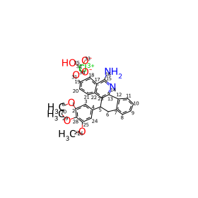 COc1cc(C2Cc3ccccc3-c3nc(N)c4ccccc4c32)cc(OC)c1OC.[O-][Cl+3]([O-])([O-])O